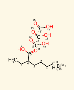 CCCCC(CC)C(=O)O.O=[C-]O.O=[C-]O.O=[C-]O.[Bi+3]